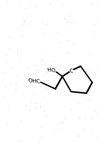 O=[C]CC1(O)CCCCC1